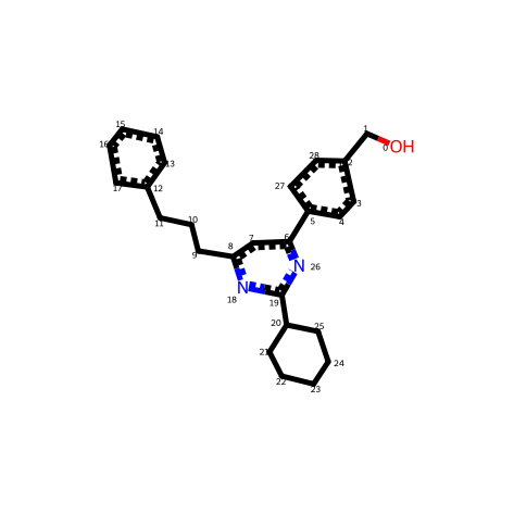 OCc1ccc(-c2cc(CCCc3ccccc3)nc(C3CCCCC3)n2)cc1